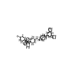 Cc1ccc(S(=O)(=O)NC2CCC(CCN3CCN(c4cc(Cl)cc(Cl)c4)CC3)CC2)cc1